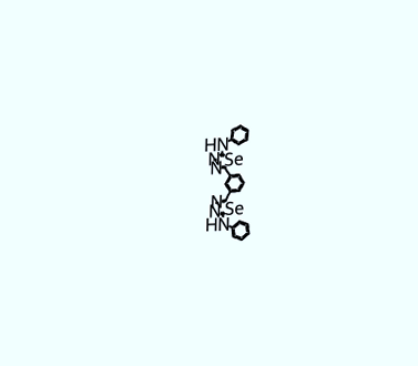 c1ccc(Nc2nnc(-c3cccc(-c4nnc(Nc5ccccc5)[se]4)c3)[se]2)cc1